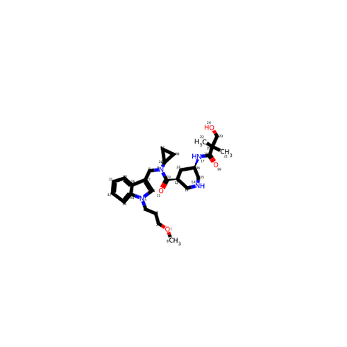 COCCCn1cc(CN(C(=O)[C@@H]2CNC[C@H](NC(=O)C(C)(C)CO)C2)C2CC2)c2ccccc21